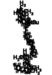 Cc1n[nH]c(Nc2ncnc3cc(OCCCN4CCN(c5ncc(OCC6CN(C[C@H]7CN[C@H](C)CN7CC(=O)N7CC(C)(C)c8ncc(Cc9ccc(F)cc9)cc87)CCO6)cn5)CC4)c(S(=O)(=O)C(C)(C)C)cc23)c1C